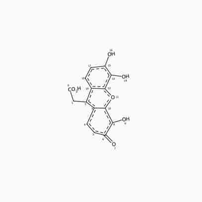 O=C(O)Cc1c2ccc(=O)c(O)c-2oc2c(O)c(O)ccc12